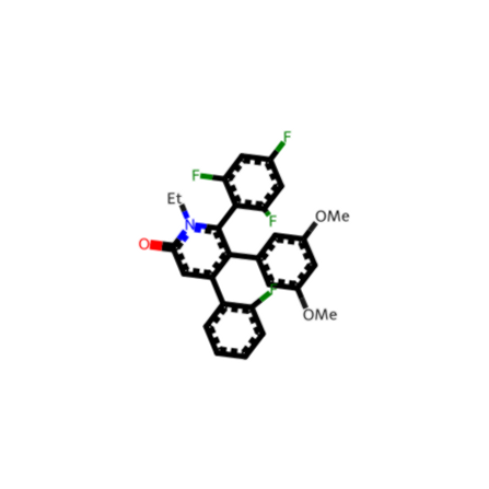 CCn1c(-c2c(F)cc(F)cc2F)c(-c2cc(OC)cc(OC)c2)c(-c2ccccc2F)cc1=O